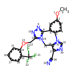 COc1ccc2c(c1)-c1nnc(COc3ccccc3C(F)(F)F)n1Cc1c(C#N)ncn1-2